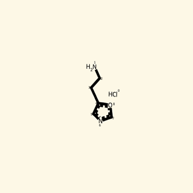 Cl.NCCc1cnco1